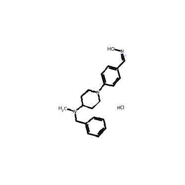 CN(Cc1ccccc1)C1CCN(c2ccc(/C=N\O)cc2)CC1.Cl